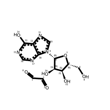 O=CC=O.OC[C@H]1O[C@@H](n2cnc3c(O)ncnc32)[C@H](O)[C@@H]1O